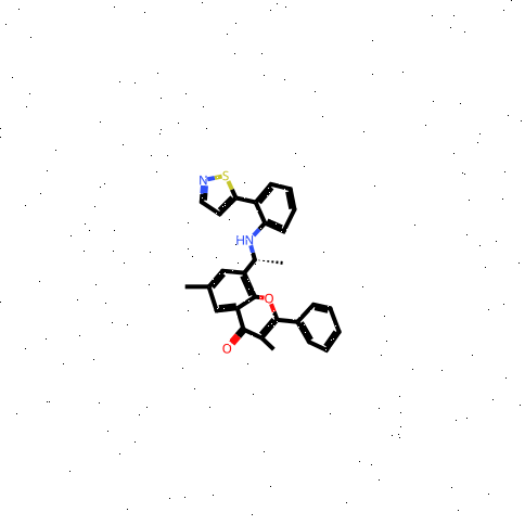 Cc1cc([C@@H](C)Nc2ccccc2-c2ccns2)c2oc(-c3ccccc3)c(C)c(=O)c2c1